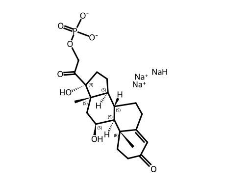 C[C@]12CCC(=O)C=C1CC[C@@H]1[C@@H]2[C@@H](O)C[C@@]2(C)[C@H]1CC[C@]2(O)C(=O)COP(=O)([O-])[O-].[Na+].[Na+].[NaH]